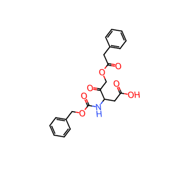 O=C(O)CC(NC(=O)OCc1ccccc1)C(=O)COC(=O)Cc1ccccc1